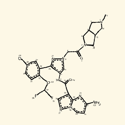 CN1CC2CN(C(=O)Cn3cc(NC(=O)c4cnn5ccc(N)nc45)c(-c4cc(Cl)ccc4OC(F)F)n3)CC2C1